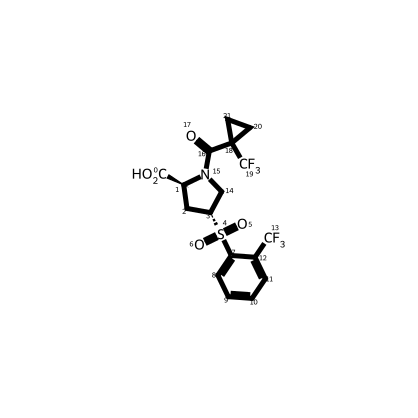 O=C(O)[C@@H]1C[C@@H](S(=O)(=O)c2ccccc2C(F)(F)F)CN1C(=O)C1(C(F)(F)F)CC1